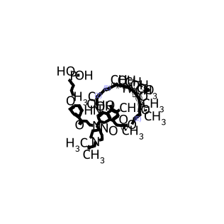 CO[C@H]1/C=C/O[C@@]2(C)Oc3c(C)c(O)c4c(c3C2=O)C2=NC3(CCN(CC(C)C)CC3)N(CCC(=O)c3ccc(OCCCCP(O)O)cc3)C2C(=C4O)NC(=O)/C(C)=C\C=C\[C@H](C)[C@H](O)[C@@H](C)[C@@H](O)[C@@H](C)[C@H](OC(C)=O)[C@@H]1C